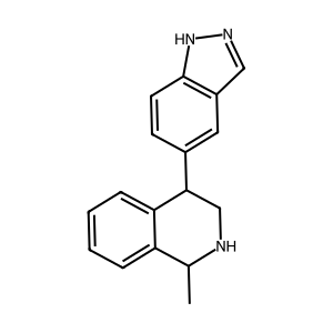 CC1NCC(c2ccc3[nH]ncc3c2)c2ccccc21